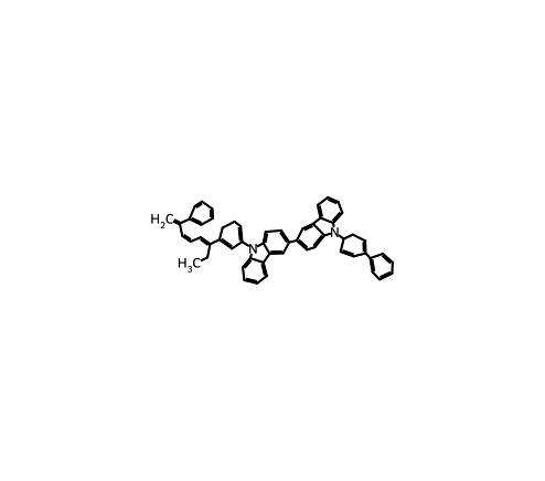 C=C(/C=C\C=C(/CC)C1=CC(n2c3ccccc3c3cc(-c4ccc5c(c4)c4ccccc4n5C4C=CC(c5ccccc5)=CC4)ccc32)=CCC1)c1ccccc1